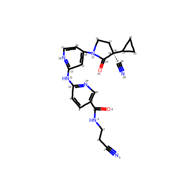 N#CCCNC(=O)c1ccc(Nc2cc(N3CC[C@@](C#N)(C4CC4)C3=O)ccn2)nc1